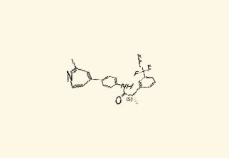 Cc1cc(-c2ccc(NC(=O)[C@@H](C)c3cccc(C(F)(F)F)c3)cc2)ccn1